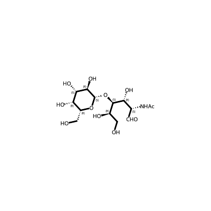 CC(=O)N[C@H](C=O)[C@@H](O)[C@H](O[C@@H]1O[C@H](CO)[C@H](O)[C@H](O)[C@H]1O)[C@H](O)CO